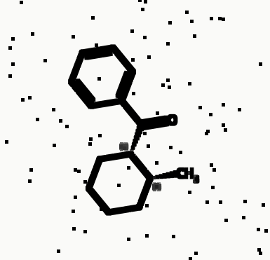 C[C@@H]1CCCC[C@@H]1C(=O)c1ccccc1